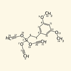 C#CO[Si](CCc1cc(OC)cc(OC)c1)(OC#C)OC#C